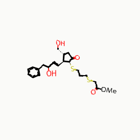 COC(=O)CSCCCS[C@H]1C(=O)C[C@@H](CO)[C@@H]1C=C[C@@H](O)Cc1ccccc1